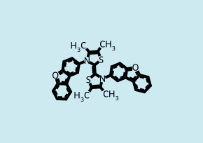 CC1=C(C)N(c2ccc3oc4ccccc4c3c2)/C(=C2\SC(C)=C(C)N2c2ccc3oc4ccccc4c3c2)S1